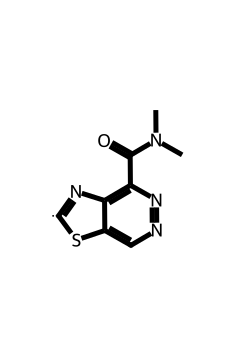 CN(C)C(=O)c1nncc2s[c]nc12